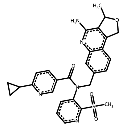 CC1OCc2c1c(N)nc1cc(CN(C(=O)c3ccc(C4CC4)nc3)c3cccnc3S(C)(=O)=O)ccc21